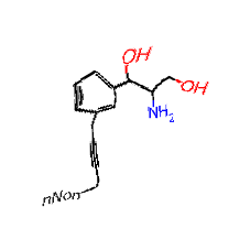 CCCCCCCCCCC#Cc1cccc(C(O)C(N)CO)c1